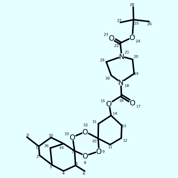 CC1CC2CC(C)C3(OOC4(CCCC(OC(=O)N5CCN(C(=O)OC(C)(C)C)CC5)C4)OO3)C(C1)C2